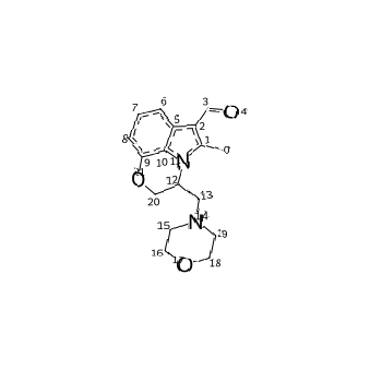 Cc1c(C=O)c2cccc3c2n1C(CN1CCOCC1)CO3